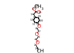 C#CCOCCOCCOc1ccc(CC(=O)OC)cc1